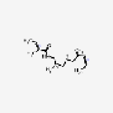 C=C(/C=C\C)CNC[C@@H](C)CNC(=O)/C(C)=C/C